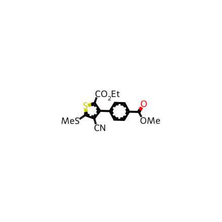 CCOC(=O)c1sc(SC)c(C#N)c1-c1ccc(C(=O)OC)cc1